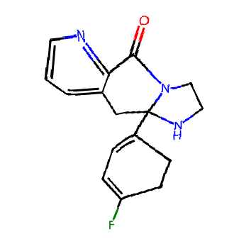 O=C1c2ncccc2CC2(C3=CC=C(F)CC3)NCCN12